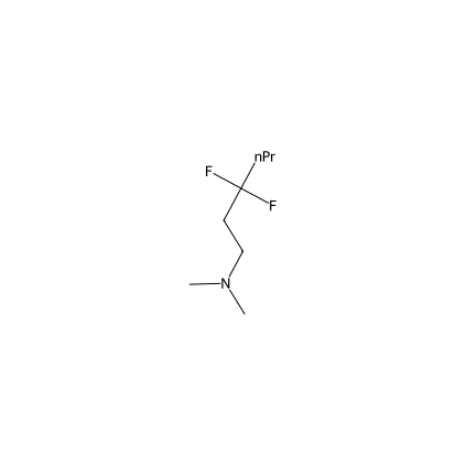 CCCC(F)(F)CCN(C)C